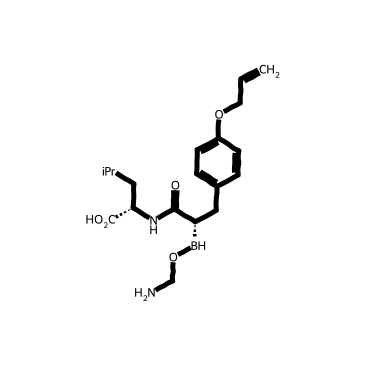 C=CCOc1ccc(C[C@H](BOCN)C(=O)N[C@@H](CC(C)C)C(=O)O)cc1